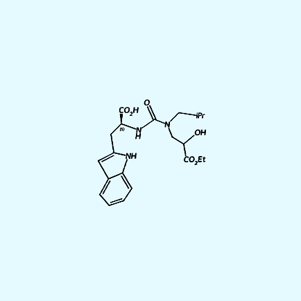 CCOC(=O)C(O)CN(CC(C)C)C(=O)N[C@@H](Cc1cc2ccccc2[nH]1)C(=O)O